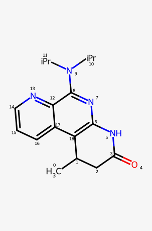 CC1CC(=O)Nc2nc(N(C(C)C)C(C)C)c3ncccc3c21